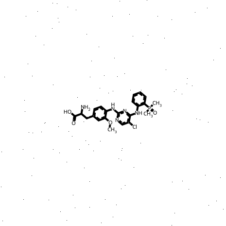 COc1cc(CC(N)C(=O)O)ccc1Nc1ncc(Cl)c(Nc2ccccc2P(C)(C)=O)n1